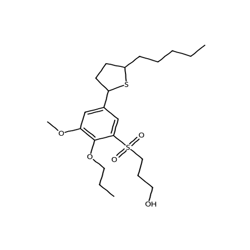 CCCCCC1CCC(c2cc(OC)c(OCCC)c(S(=O)(=O)CCCO)c2)S1